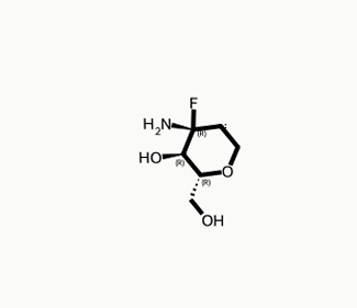 N[C@@]1(F)[C]CO[C@H](CO)[C@H]1O